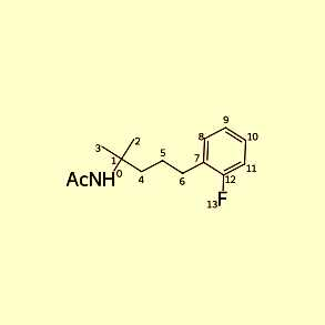 CC(=O)NC(C)(C)CCCc1ccccc1F